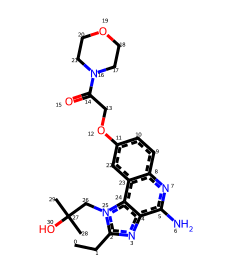 CCc1nc2c(N)nc3ccc(OCC(=O)N4CCOCC4)cc3c2n1CC(C)(C)O